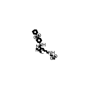 CS(=O)(=O)CCNCCc1ccc2ncnc(Nc3ccc(S(=O)(=O)c4ccccc4)cc3)c2c1